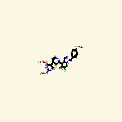 COc1ccc(Cn2ncc3c(-c4nccc5c4sc4nc(SC)nc(OC(C)(C)C)c45)c(C(F)(F)F)c(Cl)cc32)cc1